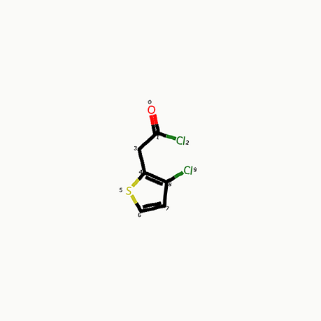 O=C(Cl)Cc1sccc1Cl